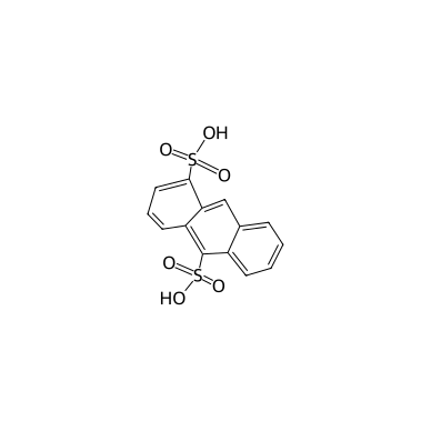 O=S(=O)(O)c1cccc2c(S(=O)(=O)O)c3ccccc3cc12